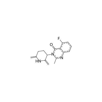 C=C1CCC(n2c(C)nc3cccc(F)c3c2=O)C(=C)N1